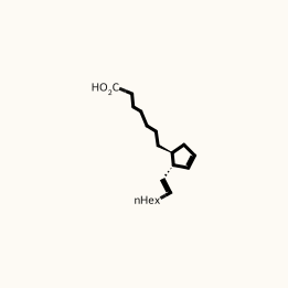 CCCCCC/C=C/[C@H]1C=CC[C@@H]1CCCCCCC(=O)O